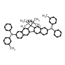 Cc1cccc(N(c2ccccc2)c2ccc3cc4c(cc3c2)C([Si](C)(C)C)([Si](C)(C)C)c2cc3cc(N(c5ccccc5)c5cccc(C)c5)ccc3cc2-4)c1